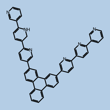 C1=C(c2cccnc2)NCC(c2ccc(-c3ccc4c5ccccc5c5ccc(-c6ccc(-c7ccc(-c8cccnc8)nc7)nc6)cc5c4c3)cn2)=C1